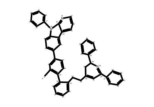 Ic1cc(-c2ccc3c(c2)c2cccnc2n3-c2ccccc2)ccc1-c1ccccc1CCC1=CC(c2ccccc2)=NC(c2ccccc2)C1